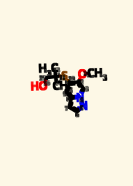 COc1cn2nccc2cc1SC(C)(C)CO